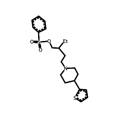 CCC(CCN1CCC(c2cccs2)CC1)COS(=O)(=O)c1ccccc1